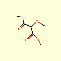 CNC(=O)C(OC)C(=O)OC